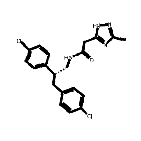 Cc1n[nH]c(CC(=O)NC[C@H](Cc2ccc(Cl)cc2)c2ccc(Cl)cc2)n1